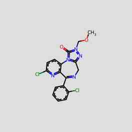 COCn1nc2n(c1=O)-c1ccc(Cl)nc1C(c1ccccc1Cl)=NC2